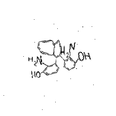 Nc1c(O)cccc1-c1ccc2ccccc2c1-c1cccc(O)c1N